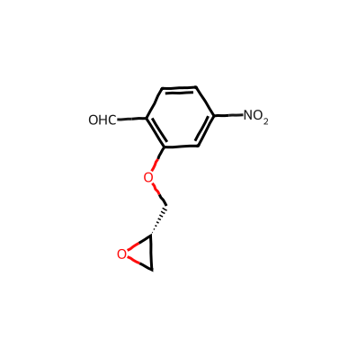 O=Cc1ccc([N+](=O)[O-])cc1OC[C@@H]1CO1